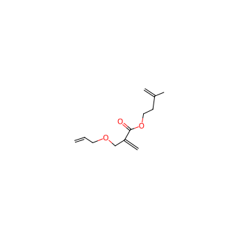 C=CCOCC(=C)C(=O)OCCC(=C)C